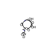 COc1nc(/C=C(\C)[C@@H]2CC3OC3(C)C/C=C/[C@H](C)[C@H](O)[C@@H](C)C(=O)C(C)(C)[C@@H](O)CC(=O)O2)co1